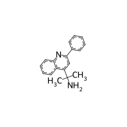 CC(C)(N)c1cc(-c2ccccc2)nc2ccccc12